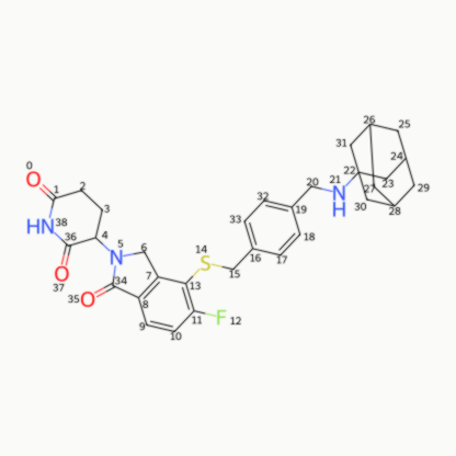 O=C1CCC(N2Cc3c(ccc(F)c3SCc3ccc(CNC45CC6CC(CC(C6)C4)C5)cc3)C2=O)C(=O)N1